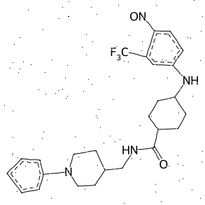 O=Nc1ccc(NC2CCC(C(=O)NCC3CCN(c4ccccc4)CC3)CC2)cc1C(F)(F)F